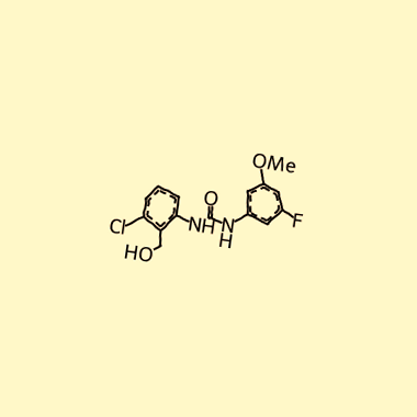 COc1cc(F)cc(NC(=O)Nc2cccc(Cl)c2CO)c1